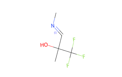 C/N=C/C(C)(O)C(F)(F)F